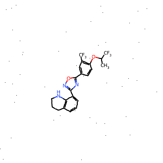 CC(Oc1ccc(-c2nc(-c3cccc4c3NCCC4)no2)cc1C(F)(F)F)C(F)(F)F